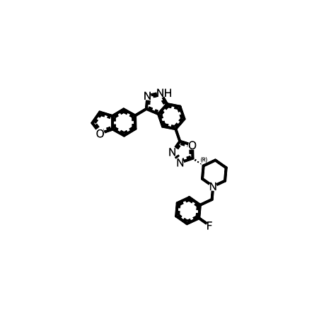 Fc1ccccc1CN1CCC[C@@H](c2nnc(-c3ccc4[nH]nc(-c5ccc6occc6c5)c4c3)o2)C1